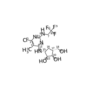 Cc1c(Cl)nc(NCC(F)(F)F)nc1N[C@@H]1C[C@H](CO)[C@@H](O)[C@H]1O